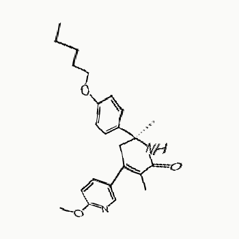 CCCCCOc1ccc([C@]2(C)CC(c3ccc(OC)nc3)=C(C)C(=O)N2)cc1